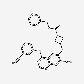 C#Cc1cccc(Nc2ncnc3cc(OC)c(NC4CN(C(=O)OCc5ccccc5)C4)cc23)c1